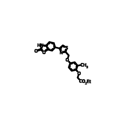 CCOC(=O)COc1ccc(OCc2nc(-c3ccc4[nH]c(=O)oc4c3)cs2)cc1C